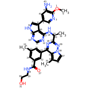 COc1ncc(-c2c[nH]c3ncnc(N[C@@H](C)c4nc(-c5cc(C)cc(C(=O)NCCO)c5)c5c(C)ccn5n4)c23)cc1N